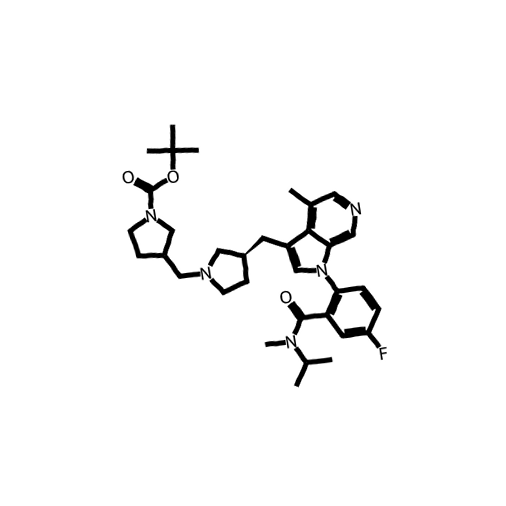 Cc1cncc2c1c(C[C@H]1CCN(CC3CCN(C(=O)OC(C)(C)C)C3)C1)cn2-c1ccc(F)cc1C(=O)N(C)C(C)C